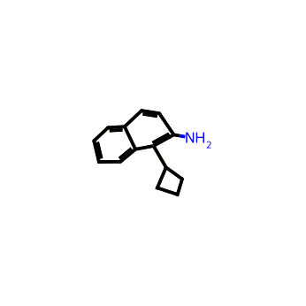 Nc1ccc2ccccc2c1C1CCC1